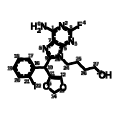 Nc1nc(F)nc2c1nc(C(C1=COCO1)c1ccccc1I)n2CCCCO